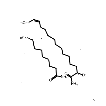 CCCCCCCC/C=C\CCCCCCCCCCC(CC)C(N)=O.CCCCCCCCCCCCCCCCCC(N)=O